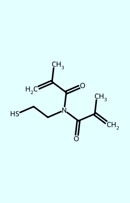 C=C(C)C(=O)N(CCS)C(=O)C(=C)C